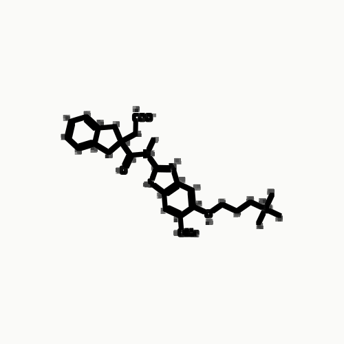 COc1cc2sc(N(C)C(=O)C3(CC(=O)[O-])Cc4ccccc4C3)nc2cc1OCCC[N+](C)(C)C